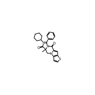 CC1(C(=O)NC2CCCCC2)Cn2c(cc3sccc32)C(=O)N1Cc1ccccc1